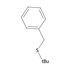 CC(C)(C)SCc1ccccc1